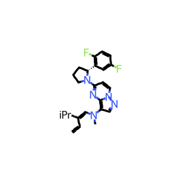 C=C/C(=C\N(C)c1cnn2ccc(N3CCC[C@@H]3c3cc(F)ccc3F)nc12)C(C)C